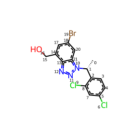 C[C@H](c1ccc(Cl)cc1Cl)n1nnc2c(CO)cc(Br)cc21